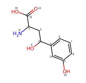 NC(CC(O)c1cccc(O)c1)C(=O)O